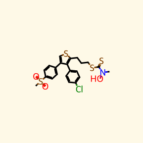 CN(O)C(=S)SCCCc1scc(-c2ccc(S(C)(=O)=O)cc2)c1-c1ccc(Cl)cc1